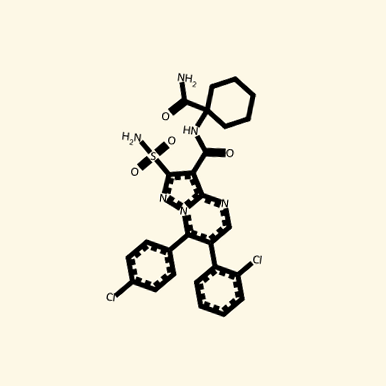 NC(=O)C1(NC(=O)c2c(S(N)(=O)=O)nn3c(-c4ccc(Cl)cc4)c(-c4ccccc4Cl)cnc23)CCCCC1